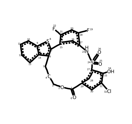 O=C1OCCCc2c(sc3ccccc23)-c2cc(c(F)cc2F)NS(=O)(=O)c2cc1cc(Cl)c2O